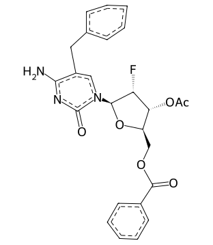 CC(=O)O[C@H]1[C@@H](F)[C@H](n2cc(Cc3ccccc3)c(N)nc2=O)O[C@@H]1COC(=O)c1ccccc1